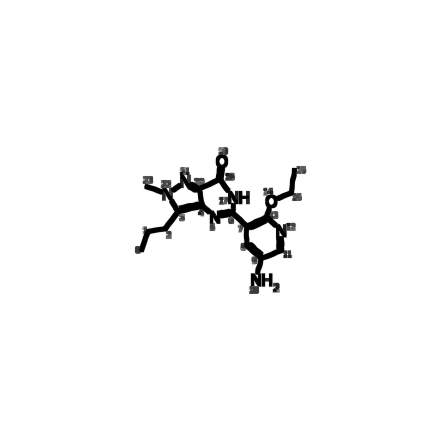 CCCc1c2nc(-c3cc(N)cnc3OCC)[nH]c(=O)c2nn1C